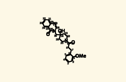 COc1ccccc1CCC(=O)N1CCC(O)(Cn2cnc3ccccc3c2=O)CC1